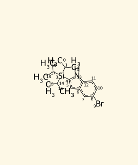 CC(C)[Si](c1cc2cc(Br)ccc2[nH]1)(C(C)C)C(C)C